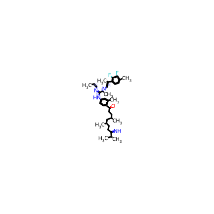 C\C=C/N=C(Nc1ccc(C(=O)CCC(C)CC(C)CCC(=N)C(C)C)c(C)c1)\C(C)=N\C=C(/C)c1ccc(C)c(F)c1F